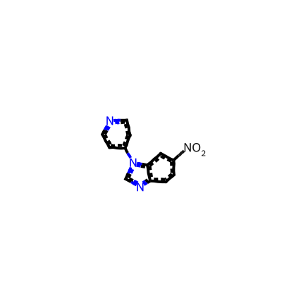 O=[N+]([O-])c1ccc2ncn(-c3ccncc3)c2c1